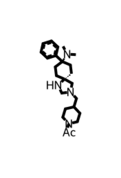 CC(=O)N1CCC(CN2CN[C@]3(CC[C@](c4ccccc4)(N(C)C)CC3)C2)CC1